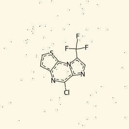 FC(F)(F)c1cnc2c(Cl)nc3ccsc3n12